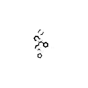 Cc1ccc(-c2nc3c(N4CCOCC4)cccn3c2-c2ccnc(NC3CCCC3)n2)cc1